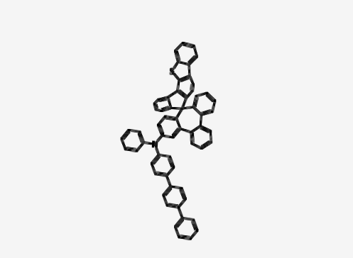 c1ccc(-c2ccc(-c3ccc(N(c4ccccc4)c4ccc5c(c4)-c4ccccc4-c4ccccc4C54c5ccccc5-c5c4ccc4c5sc5ccccc54)cc3)cc2)cc1